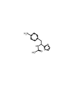 Nc1ccc(CC(NC(=O)O)c2nccs2)cc1